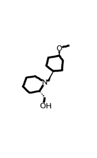 CO[C@H]1CC[C@@H](CN2CCCC[C@H]2CO)CC1